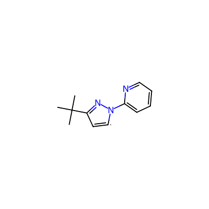 CC(C)(C)c1c[c]n(-c2ccccn2)n1